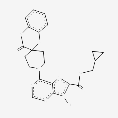 Cn1c(C(=O)NCC2CC2)nc2c(N3CCC4(CC3)Nc3ccccc3NC4=O)ncnc21